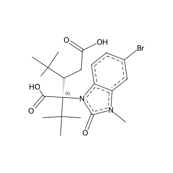 Cn1c(=O)n([C@@](C(=O)O)(C(CC(=O)O)C(C)(C)C)C(C)(C)C)c2ccc(Br)cc21